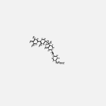 CCCCCc1ccc(C#Cc2ccc(C(F)(F)Oc3ccc(-c4cc(F)c(F)c(F)c4)c(F)c3)c(F)c2)cc1